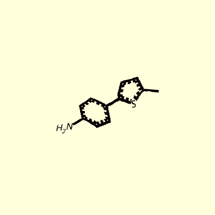 Cc1ccc(-c2ccc(N)cc2)s1